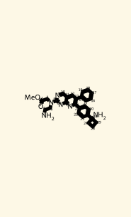 COC(=O)CN(CCN)c1ncc2cc(-c3ccccc3)c(-c3ccc(C4(N)CCC4)cc3)nc2n1